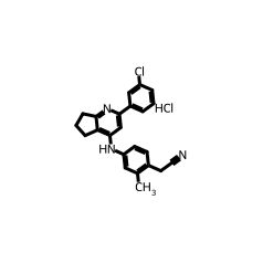 Cc1cc(Nc2cc(-c3cccc(Cl)c3)nc3c2CCC3)ccc1CC#N.Cl